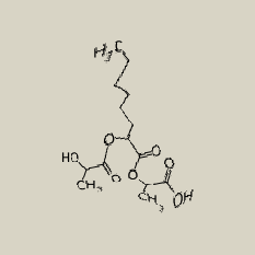 CCCCCCC(OC(=O)C(C)O)C(=O)OC(C)C(=O)O